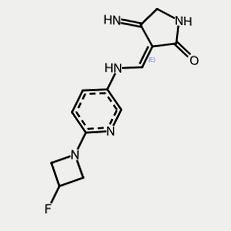 N=C1CNC(=O)/C1=C/Nc1ccc(N2CC(F)C2)nc1